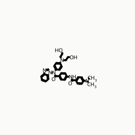 CN(C)c1ccc(C(=O)Nc2ccc(C(=O)N(c3ccc(N(CCO)CCO)cc3)n3cnc4ccccc43)cc2)cc1